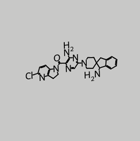 Nc1nc(N2CCC3(CC2)Cc2ccccc2C3N)cnc1C(=O)N1CCc2nc(Cl)ccc21